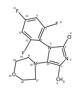 Cc1nc(Cl)n(-c2c(F)cc(F)cc2F)c1N1CCOCC1